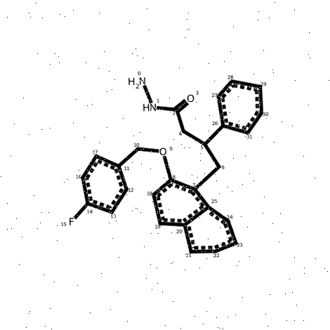 NNC(=O)CC(Cc1c(OCc2ccc(F)cc2)ccc2ccccc12)c1ccccc1